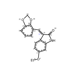 CCOc1ccc2c(c1)NC(=O)/C2=C/c1cccc2c1OCO2